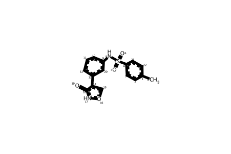 Cc1ccc(S(=O)(=O)Nc2cccc(-c3co[nH]c3=O)c2)cc1